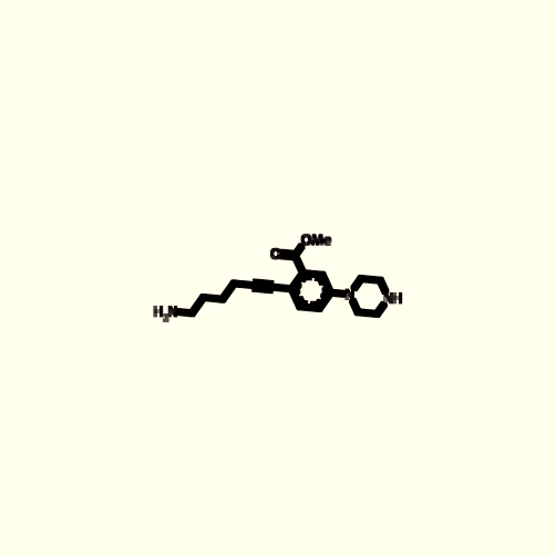 COC(=O)c1cc(N2CCNCC2)ccc1C#CCCCCN